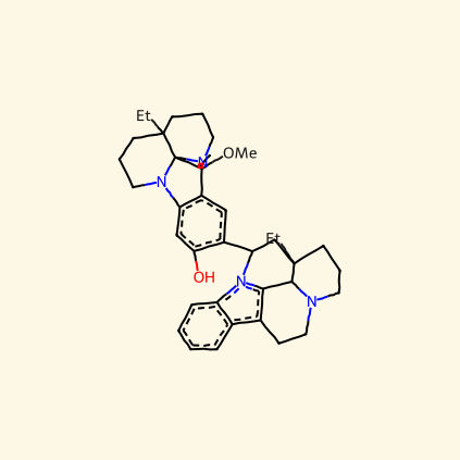 CCC12CCCN3CCc4c(n(c5ccccc45)C(c4cc5c(cc4O)N4CCCC6(CC)CCCN7CCC5(OC)C746)C1)C32